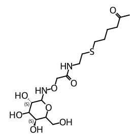 CC(=O)CCCCSCCNC(=O)CONC1OC(CO)[C@@H](O)C(O)[C@@H]1O